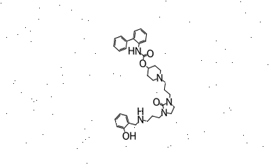 O=C(Nc1ccccc1-c1ccccc1)OC1CCN(CCCN2CCN(CCCNCc3ccccc3O)C2=O)CC1